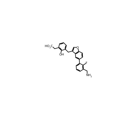 NCc1cccc(-c2ccc3occ(Cc4cccc(CC(=O)O)c4O)c3c2)c1F